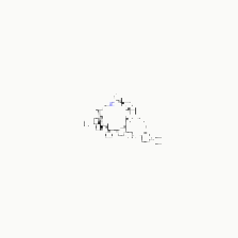 CO[C@]1(C)/C=C/C[C@H](C)[C@@H](CCO)S(=O)(=O)NC(=O)c2ccc3c(c2)N(CCCCc2cc(Cl)ccc2CO3)C[C@@H]2CC[C@H]21